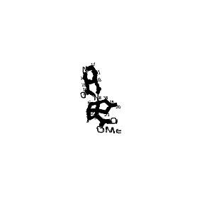 COC(=O)C1CC2CC3(N4Cc5ccncc5C4=O)CC(C)CC213